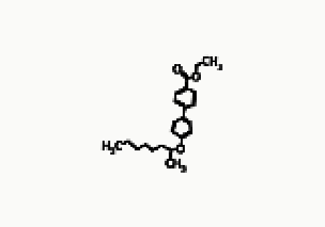 CCCCCCC(C)Oc1ccc(-c2ccc(C(=O)OCC)cc2)cc1